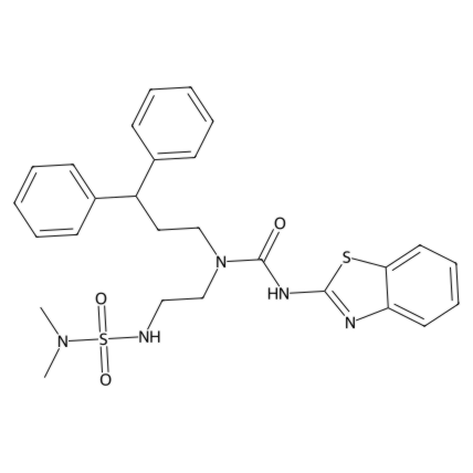 CN(C)S(=O)(=O)NCCN(CCC(c1ccccc1)c1ccccc1)C(=O)Nc1nc2ccccc2s1